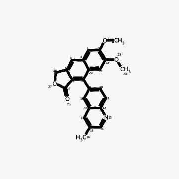 COc1cc2cc3c(c(-c4ccc5ncc(C)cc5c4)c2cc1OC)C(=O)OC3